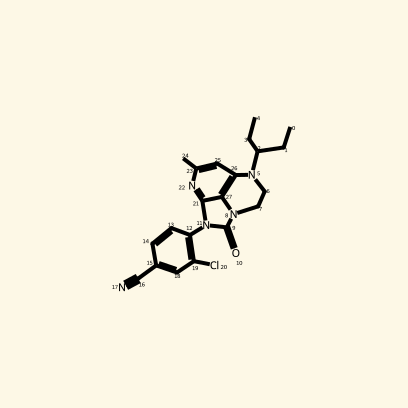 CCC(CC)N1CCn2c(=O)n(-c3ccc(C#N)cc3Cl)c3nc(C)cc1c32